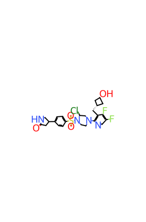 O=C1CC(c2ccc(S(=O)(=O)N3CCN(c4ncc(F)c(F)c4C[C@H]4C[C@H](O)C4)CC3Cl)cc2)CN1